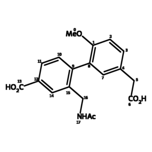 COc1ccc(CC(=O)O)cc1-c1ccc(C(=O)O)cc1CNC(C)=O